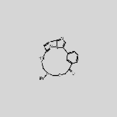 CC(C)N1CCCC(=O)c2cccc(c2)-c2cnc3ccc(nn23)NCC1